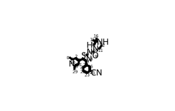 Cc1cc(-c2sc(NC(=O)N3CCNC(C)(C)C3)nc2-c2cccc(C#N)c2)cc(C)n1